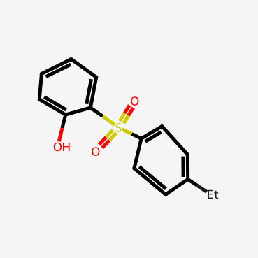 CCc1ccc(S(=O)(=O)c2ccccc2O)cc1